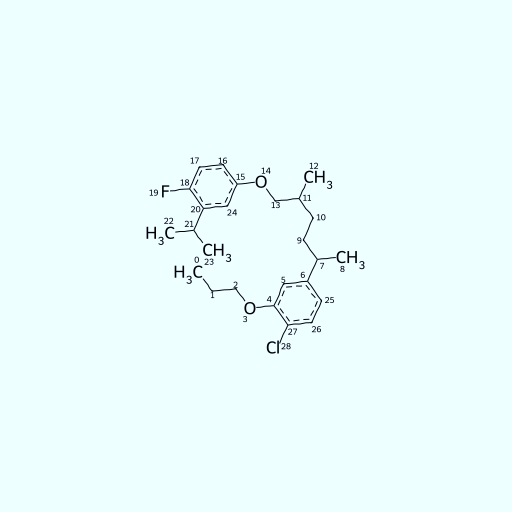 CCCOc1cc(C(C)CCC(C)COc2ccc(F)c(C(C)C)c2)ccc1Cl